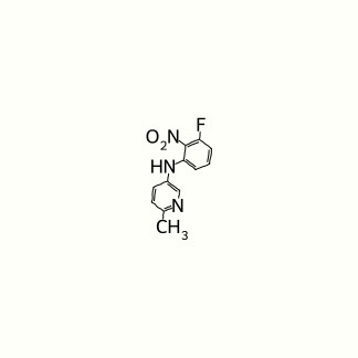 Cc1ccc(Nc2cccc(F)c2[N+](=O)[O-])cn1